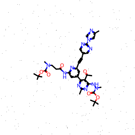 CC(=O)c1c(NN(C)C(=O)OC(C)(C)C)nc(C)nc1-c1cc(C#Cc2cnc(-n3cnc(C)c3)nc2)nc(NC(=O)CCN(C)C(=O)OC(C)(C)C)c1